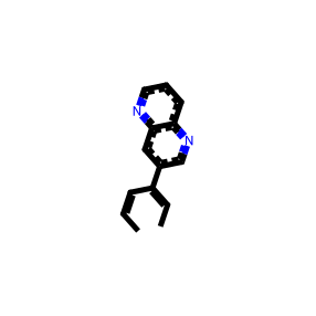 C/C=C\C(=C/C)c1cnc2cccnc2c1